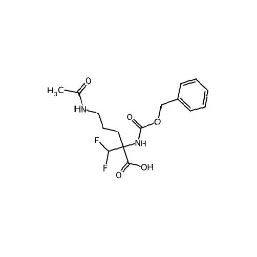 CC(=O)NCCCC(NC(=O)OCc1ccccc1)(C(=O)O)C(F)F